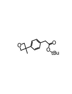 CC(C)(C)OC(=O)Cc1ccc(C2(C)COC2)cc1